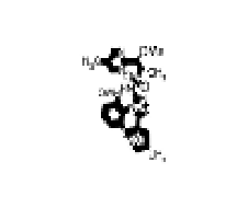 COc1cccc(C)c1-n1c(NS(=O)(=O)[C@@H](C)[C@H](OC)c2ncc(C)cn2)nnc1-c1cncc(C)c1